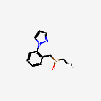 CC[S+]([O-])Cc1[c]cccc1-n1cccn1